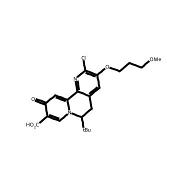 COCCCOc1cc2c(nc1Cl)-c1cc(=O)c(C(=O)O)cn1C(C(C)(C)C)C2